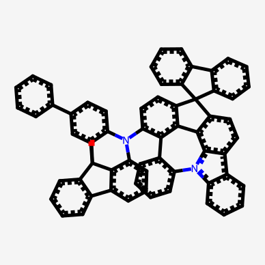 CC12c3ccccc3-c3cccc(c31)N(c1ccc3c4c1-c1ccccc1-n1c5ccccc5c5ccc(c-4c51)C31c3ccccc3-c3ccccc31)c1ccc(-c3ccccc3)cc12